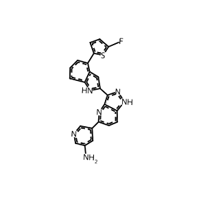 Nc1cncc(-c2ccc3[nH]nc(-c4cc5c(-c6ccc(F)s6)cccc5[nH]4)c3n2)c1